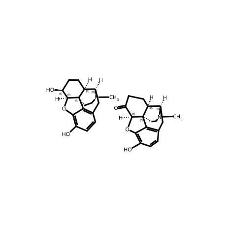 CN1CC[C@]23c4c5ccc(O)c4O[C@H]2C(=O)CC[C@H]3[C@H]1C5.CN1CC[C@]23c4c5ccc(O)c4O[C@H]2[C@@H](O)CC[C@H]3[C@H]1C5